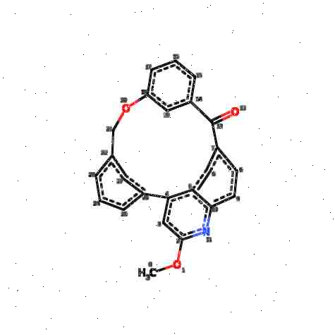 COc1cc2c3cc(ccc3n1)C(=O)c1cccc(c1)OCc1cccc-2c1